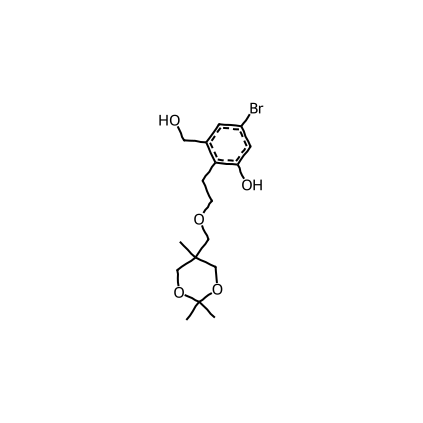 CC1(COCCc2c(O)cc(Br)cc2CO)COC(C)(C)OC1